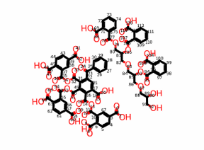 O=C(O)c1ccc(C(=O)O)c(C(=O)OC(=O)c2c(C(=O)O)cc(C(=O)c3ccccc3)c(C(=O)OC(=O)c3cc(C(=O)O)ccc3C(=O)O)c2C(=O)OC(=O)c2cc(C(=O)O)ccc2C(=O)O)c1.O=C(O)c1ccccc1C(=O)OCC(COCC(COCC(O)CO)OC(=O)c1ccccc1C(=O)O)OC(=O)c1ccccc1C(=O)O